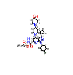 CNS(=O)(=O)NC(=O)c1cc(N2CCC(N3CCC(O)CC3)CC2)c2c(C3CCC3)nn(-c3ccc(F)cc3)c2n1